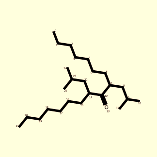 CCCCCCCC(CC(C)C)C(=O)C(CCCCCCC)CC(C)C